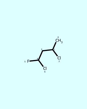 CC(Cl)CC(F)Cl